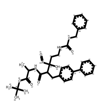 CC(NC(=O)C(Cc1ccc(-c2ccccc2)cc1)C(O)(CCNC(=O)OCc1ccccc1)P=O)C(=O)OC(C)(C)C